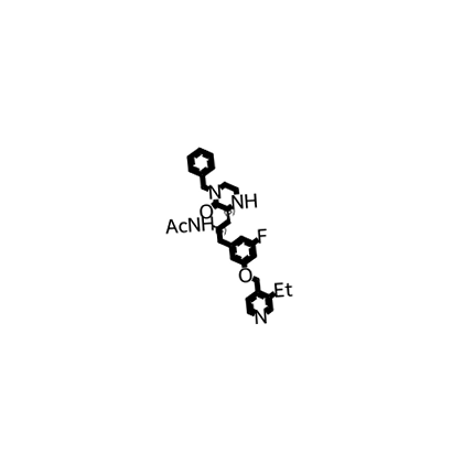 CCc1cnccc1COc1cc(F)cc(C[C@@H](C[C@@H]2NCCN(Cc3ccccc3)C2=O)NC(C)=O)c1